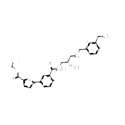 CCOC(=O)c1ccc(-c2cccc(C(=O)NC[C@H](O)CNCc3cccc(CC)c3)c2)o1